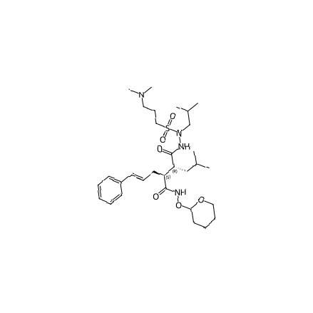 CC(C)C[C@@H](C(=O)NN(CC(C)C)S(=O)(=O)CCCN(C)C)[C@H](CC=Cc1ccccc1)C(=O)NOC1CCCCO1